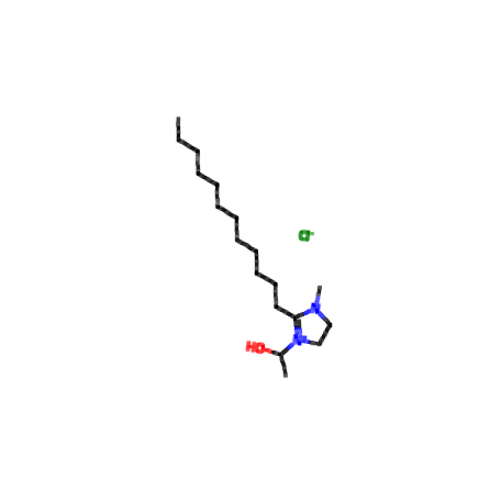 CCCCCCCCCCCCC1=[N+](C(C)O)CCN1C.[Cl-]